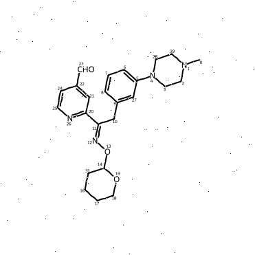 CN1CCN(c2cccc(C/C(=N\OC3CCCCO3)c3cc(C=O)ccn3)c2)CC1